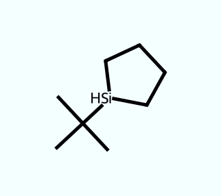 CC(C)(C)[SiH]1CCCC1